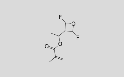 C=C(C)C(=O)OC(C)C1C(F)OC1F